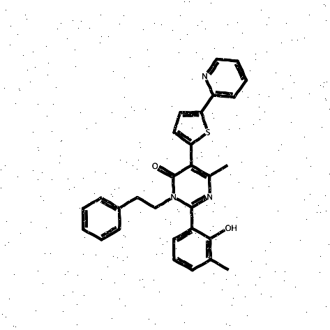 Cc1cccc(-c2nc(C)c(-c3ccc(-c4ccccn4)s3)c(=O)n2CCc2ccccc2)c1O